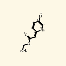 CCOC(=O)C=C1[C]=CC(Cl)=CN1